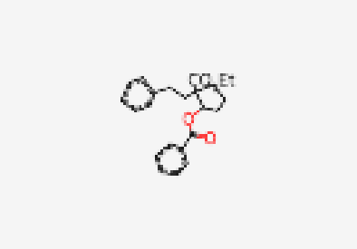 CCOC(=O)C1(CCc2ccccc2)CCCC1OC(=O)c1ccccc1